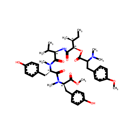 CC[C@H](C)[C@@H](OC(=O)C(Cc1ccc(OC)cc1)N(C)C)C(=O)N[C@@H](C(=O)N(C)[C@@H](Cc1ccc(O)cc1)C(=O)N(C)[C@H](Cc1ccc(O)cc1)C(=O)OC)C(C)C